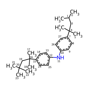 CC(C)CC(C)(C)c1ccc(Nc2ccc(C(C)(C)CC(C)(C)C)cc2)cc1